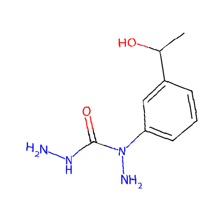 CC(O)c1cccc(N(N)C(=O)NN)c1